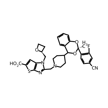 C[C@@]1(c2ccc(C#N)cc2F)Oc2ccccc2C(C2CCN(Cc3nc4sc(C(=O)O)cc4n3C[C@@H]3CCO3)CC2)O1